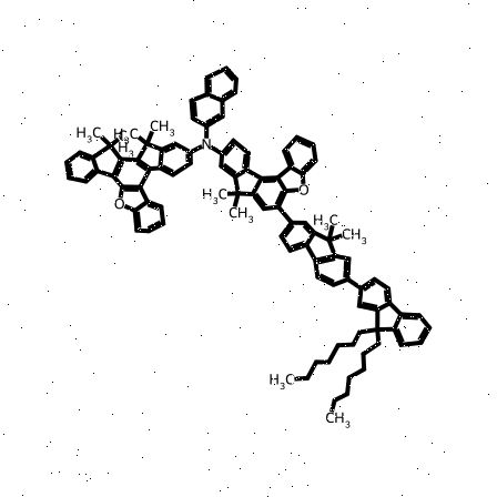 CCCCCCCC1(CCCCCCC)c2ccccc2-c2ccc(-c3ccc4c(c3)C(C)(C)c3cc(-c5cc6c(c7c5oc5ccccc57)-c5ccc(N(c7ccc8c(c7)C(C)(C)c7c9c(c%10oc%11ccccc%11c%10c7-8)-c7ccccc7C9(C)C)c7ccc8ccccc8c7)cc5C6(C)C)ccc3-4)cc21